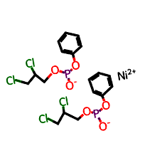 [Ni+2].[O-]P(OCC(Cl)CCl)Oc1ccccc1.[O-]P(OCC(Cl)CCl)Oc1ccccc1